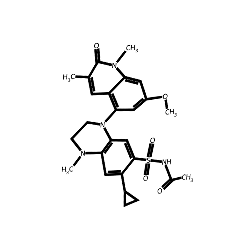 COc1cc(N2CCN(C)c3cc(C4CC4)c(S(=O)(=O)NC(C)=O)cc32)c2cc(C)c(=O)n(C)c2c1